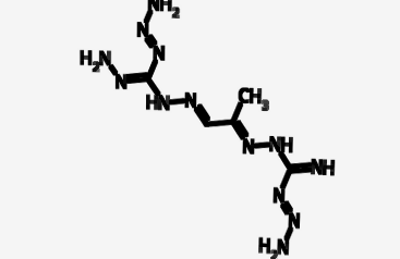 CC(/C=N/NC(N=NN)=NN)=N\NC(=N)N=NN